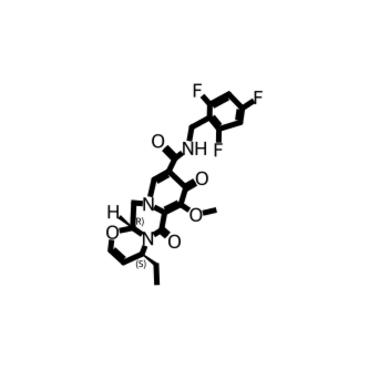 CC[C@H]1C=CO[C@@H]2Cn3cc(C(=O)NCc4c(F)cc(F)cc4F)c(=O)c(OC)c3C(=O)N12